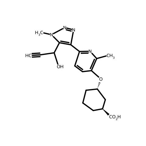 C#CC(O)c1c(-c2ccc(O[C@H]3CCC[C@H](C(=O)O)C3)c(C)n2)nnn1C